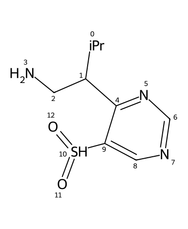 CC(C)C(CN)c1ncncc1[SH](=O)=O